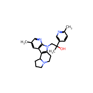 Cc1cnc2c(c1)c1c(n2CC(C)(O)c2ccc(C)nc2)CCN2CCCC12